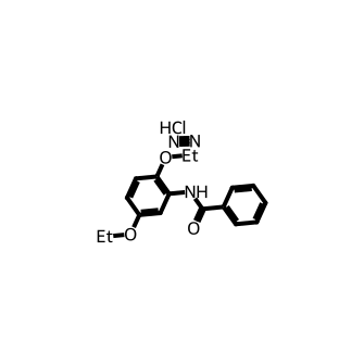 CCOc1ccc(OCC)c(NC(=O)c2ccccc2)c1.Cl.N#N